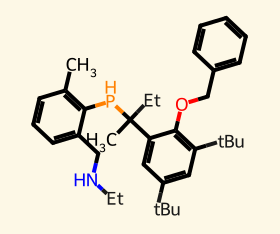 CCNCc1cccc(C)c1PC(C)(CC)c1cc(C(C)(C)C)cc(C(C)(C)C)c1OCc1ccccc1